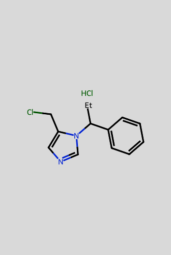 CCC(c1ccccc1)n1cncc1CCl.Cl